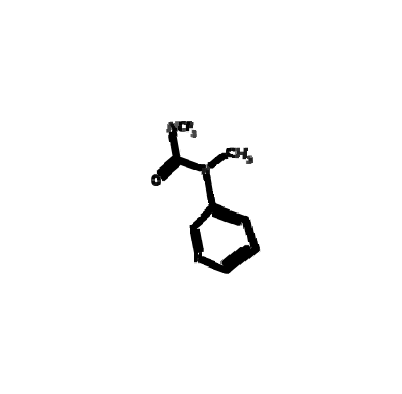 CN(C(=O)NC(F)(F)F)c1cccnc1